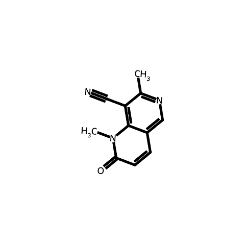 Cc1ncc2ccc(=O)n(C)c2c1C#N